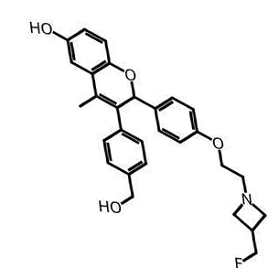 CC1=C(c2ccc(CO)cc2)C(c2ccc(OCCN3CC(CF)C3)cc2)Oc2ccc(O)cc21